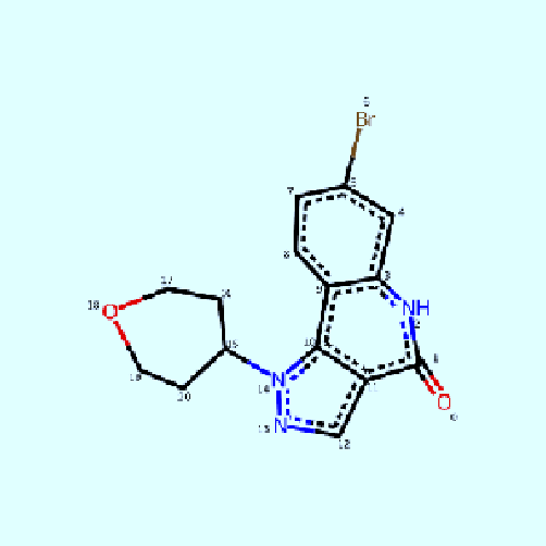 O=c1[nH]c2cc(Br)ccc2c2c1cnn2C1CCOCC1